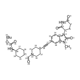 Cn1c(=O)n(C2CCC(=O)NC2=O)c2ccc(C#CC3CCN(C(=O)[C@H]4CC[C@H](NC(=O)OC(C)(C)C)CC4)CC3)cc21